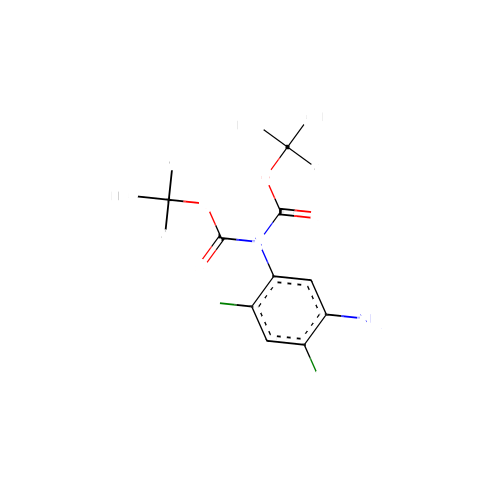 CC(C)(C)OC(=O)N(C(=O)OC(C)(C)C)c1cc(N)c(F)cc1F